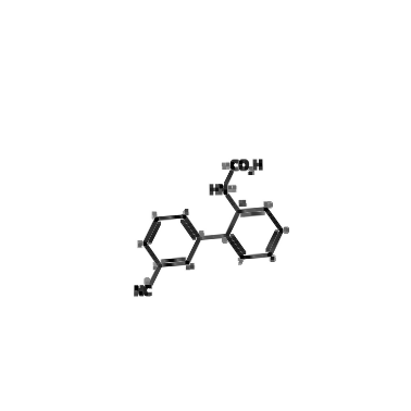 N#Cc1cccc(-c2ccccc2NC(=O)O)c1